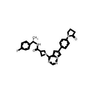 C[C@H](NC(=O)C1CN(c2ncnn3cc(-c4ccc(N5CCCC5=O)cc4)cc23)C1)c1ccc(F)cc1